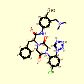 CN(C)Cc1cc(NC(=O)C(Cc2ccccc2)N2CC(=O)N(c3cc(Cl)ccc3-n3cnnn3)CC2=O)ccc1C=O